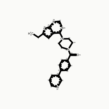 CCc1cc2c(N3CCN(C(=O)c4ccc(-c5cccnc5)cc4)CC3)ncnc2s1